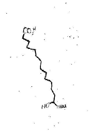 CCCCC(O)CCCCCCCCCCCCC(=O)O